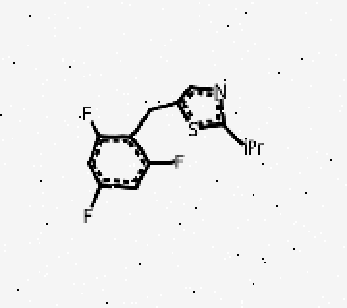 CC(C)c1ncc(Cc2c(F)cc(F)cc2F)s1